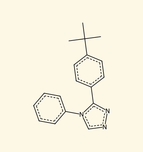 CC(C)(C)c1ccc(-c2nncn2-c2ccccc2)cc1